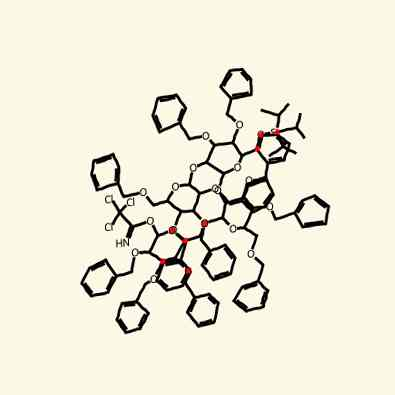 CC(C)[Si](OCC1OC(OC2C(OCC3OC(OC(=N)C(Cl)(Cl)Cl)C(OCc4ccccc4)C(OCc4ccccc4)C3OCc3ccccc3)OC(COCc3ccccc3)C(OCc3ccccc3)C2OCc2ccccc2)C(OC2OC(COCc3ccccc3)C(OCc3ccccc3)C(OCc3ccccc3)C2OCc2ccccc2)C(OCc2ccccc2)C1OCc1ccccc1)(C(C)C)C(C)C